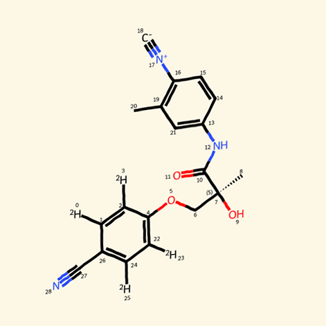 [2H]c1c([2H])c(OC[C@](C)(O)C(=O)Nc2ccc([N+]#[C-])c(C)c2)c([2H])c([2H])c1C#N